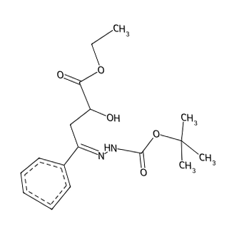 CCOC(=O)C(O)C/C(=N\NC(=O)OC(C)(C)C)c1ccccc1